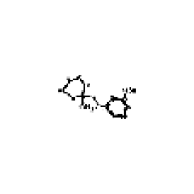 CC(C)(C)c1cncc(CCC2(N)CCCCC2)c1